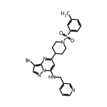 Cc1cccc(S(=O)(=O)N2CCC(c3cc(NCc4cccnc4)n4ncc(Br)c4n3)CC2)c1